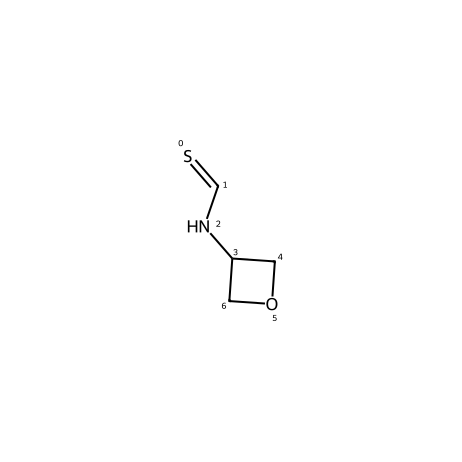 S=CNC1COC1